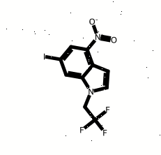 O=[N+]([O-])c1cc(I)cc2c1ccn2CC(F)(F)F